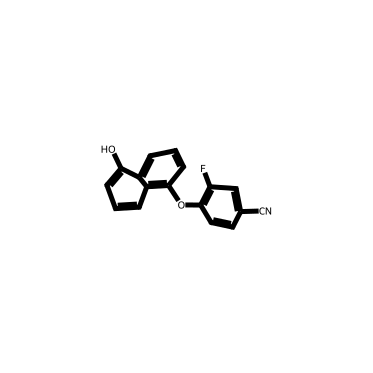 N#Cc1ccc(Oc2cccc3c(O)cccc23)c(F)c1